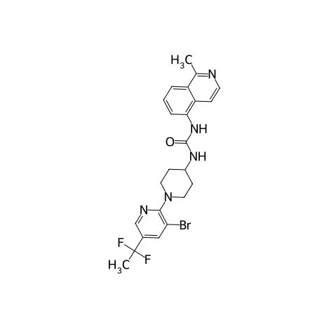 Cc1nccc2c(NC(=O)NC3CCN(c4ncc(C(C)(F)F)cc4Br)CC3)cccc12